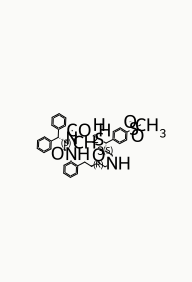 CN(C(=O)O)[C@H](C(=O)Nc1ccccc1CC[C@@H]1CNC[C@@H](C(S)c2ccc(S(C)(=O)=O)cc2)O1)C(c1ccccc1)c1ccccc1